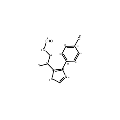 CC(COC=O)c1scnc1-c1ccc(Cl)cc1